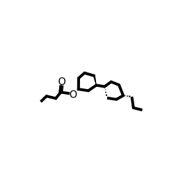 CCCC(=O)O[C@@H]1CCC[C@@H]([C@H]2CC[C@@H](CCC)CC2)C1